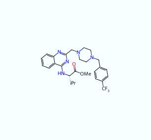 COC(=O)[C@@H](Nc1nc(CN2CCN(Cc3ccc(C(F)(F)F)cc3)CC2)nc2ccccc12)C(C)C